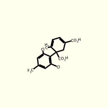 CC1=CC=C(C(=O)O)CC1(C(=O)O)c1c(Cl)cc(C(F)(F)F)cc1Cl